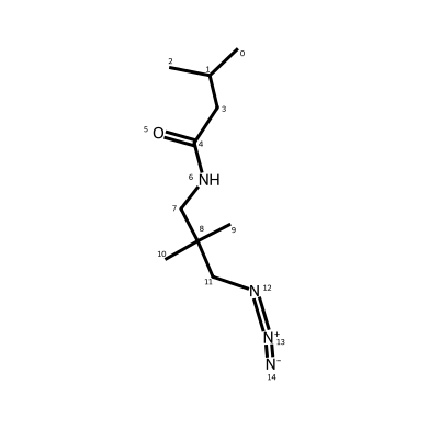 CC(C)CC(=O)NCC(C)(C)CN=[N+]=[N-]